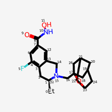 CC[C@H]1Cc2c(F)cc(C(=O)NO)cc2CN1CC12CC3CC(CC(C3)O1)C2